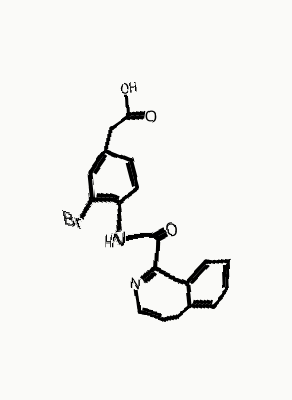 O=C(O)Cc1ccc(NC(=O)c2nccc3ccccc23)c(Br)c1